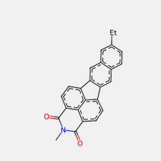 CCc1ccc2cc3c(cc2c1)-c1ccc2c4c(ccc-3c14)C(=O)N(C)C2=O